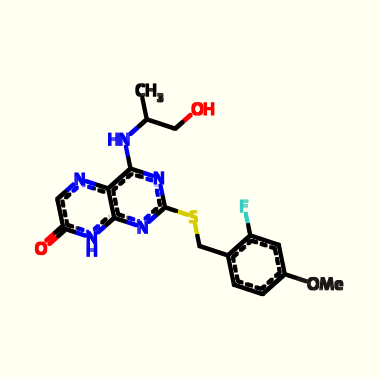 COc1ccc(CSc2nc(NC(C)CO)c3ncc(=O)[nH]c3n2)c(F)c1